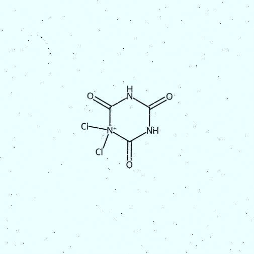 O=C1NC(=O)[N+](Cl)(Cl)C(=O)N1